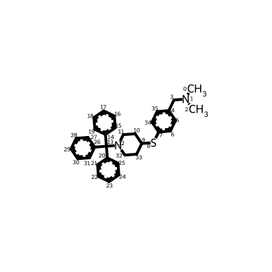 CN(C)Cc1ccc(SC2CCN(C(c3ccccc3)(c3ccccc3)c3ccccc3)CC2)cc1